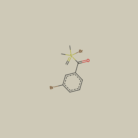 C=S(C)(C)(Br)C(=O)c1cccc(Br)c1